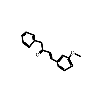 COc1cccc(/C=C/C(=O)Cc2ccccc2)c1